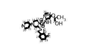 C[C@H](CO)Oc1cc(NS(=O)(=O)N2CCN(c3ccncc3)CC2SCc2cccc(F)c2F)ncn1